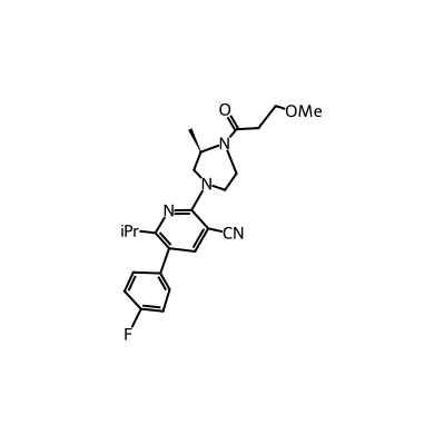 COCCC(=O)N1CCN(c2nc(C(C)C)c(-c3ccc(F)cc3)cc2C#N)C[C@H]1C